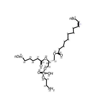 CCCC/C=C\CCCCCCCC(=O)OC[C@H](COP(=O)(O)OCCN)OC(=O)CCCCCCCCCCCCCC